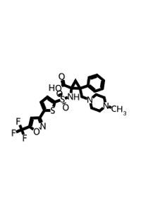 CN1CCN(CC2(c3ccccc3)CC2(NS(=O)(=O)c2ccc(-c3cc(C(F)(F)F)on3)s2)C(=O)O)CC1